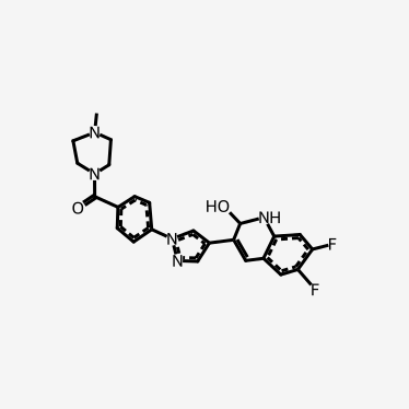 CN1CCN(C(=O)c2ccc(-n3cc(C4=Cc5cc(F)c(F)cc5NC4O)cn3)cc2)CC1